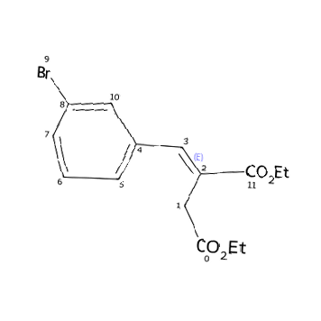 CCOC(=O)C/C(=C\c1cccc(Br)c1)C(=O)OCC